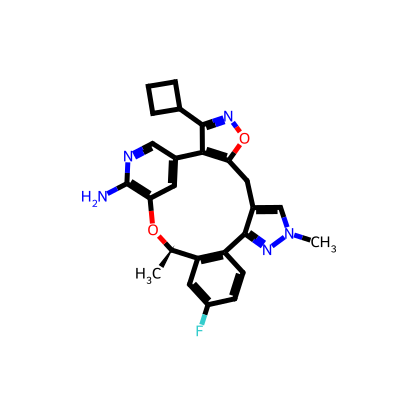 C[C@H]1Oc2cc(cnc2N)-c2c(C3CCC3)noc2Cc2cn(C)nc2-c2ccc(F)cc21